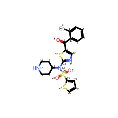 CCc1ccccc1C(=O)c1cnc(N(C2CCNCC2)S(=O)(=O)c2cccs2)s1